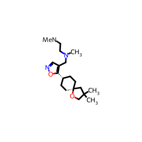 CNCCN(C)Cc1cnoc1[C@H]1CC[C@]2(CC1)CC(C)(C)CO2